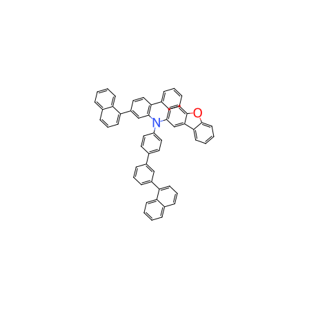 c1ccc(-c2ccc(-c3cccc4ccccc34)cc2N(c2ccc(-c3cccc(-c4cccc5ccccc45)c3)cc2)c2ccc3oc4ccccc4c3c2)cc1